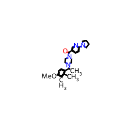 COc1ccc(C(C)N2CCN(C(=O)c3ccc(N4CCCC4)nc3)CC2)c(C)c1C